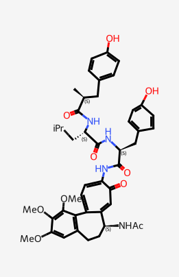 COc1cc2c(c(OC)c1OC)-c1ccc(NC(=O)[C@H](Cc3ccc(O)cc3)NC(=O)[C@H](CC(C)C)NC(=O)[C@@H](C)Cc3ccc(O)cc3)c(=O)cc1[C@@H](NC(C)=O)CC2